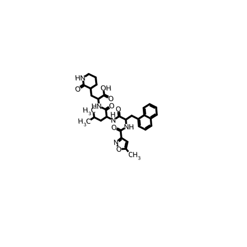 Cc1cc(C(=O)NC(Cc2cccc3ccccc23)C(=O)NC(CC(C)C)C(=O)NC(CC2CCCNC2=O)C(=O)O)no1